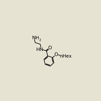 CCCCCCOc1ccccc1C(=O)NCCN